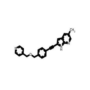 Cc1cnc2[nH]c(C#Cc3ccc(COCc4ccncc4)cc3)cc2c1